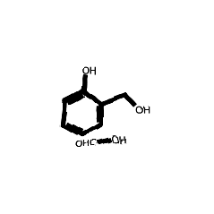 O=CO.OCc1ccccc1O